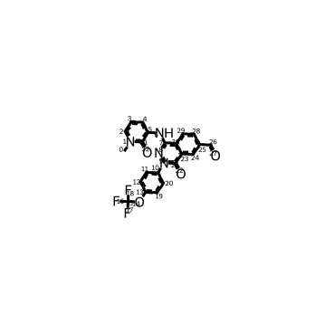 Cn1cccc(Nc2nn(-c3ccc(OC(F)(F)F)cc3)c(=O)c3cc(C=O)ccc23)c1=O